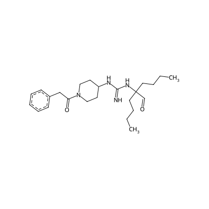 CCCCC(C=O)(CCCC)NC(=N)NC1CCN(C(=O)Cc2ccccc2)CC1